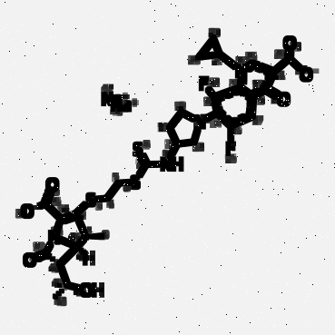 C[C@@H]1C(SCCSC(=S)NC2CCN(c3c(F)cc4c(=O)c(C(=O)[O-])cn(C5CC5)c4c3F)C2)=C(C(=O)[O-])N2C(=O)[C@@H]([C@@H](C)O)[C@H]12.[Na+].[Na+]